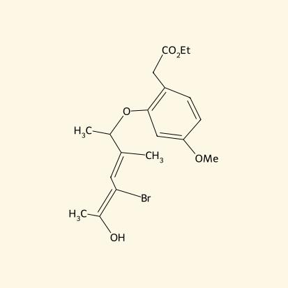 CCOC(=O)Cc1ccc(OC)cc1OC(C)/C(C)=C/C(Br)=C(\C)O